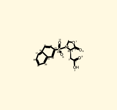 O=C(O)C[C@@H]1C(=O)OCN1S(=O)(=O)c1ccc2ccccc2c1